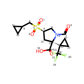 O=CN1C[C@H](S(=O)(=O)CC2CC2)C[C@@]1(C(=O)O)C1(C(F)(F)F)CC1